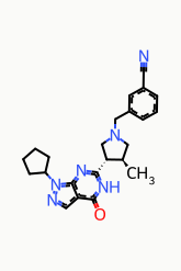 C[C@@H]1CN(Cc2cccc(C#N)c2)C[C@H]1c1nc2c(cnn2C2CCCC2)c(=O)[nH]1